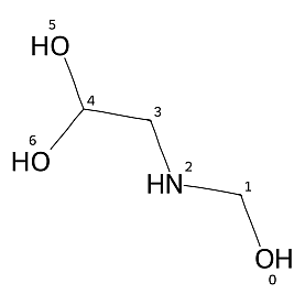 OCNCC(O)O